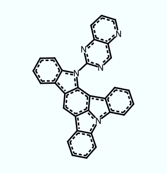 c1cnc2cnc(-n3c4ccccc4c4cc5c6ccccc6n6c7ccccc7c(c43)c56)nc2c1